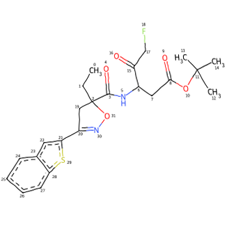 CCC1(C(=O)NC(CC(=O)OC(C)(C)C)C(=O)CF)CC(c2cc3ccccc3s2)=NO1